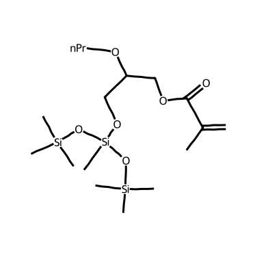 C=C(C)C(=O)OCC(CO[Si](C)(O[Si](C)(C)C)O[Si](C)(C)C)OCCC